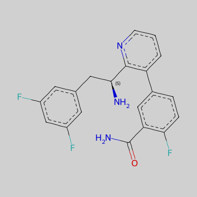 NC(=O)c1cc(-c2cccnc2[C@@H](N)Cc2cc(F)cc(F)c2)ccc1F